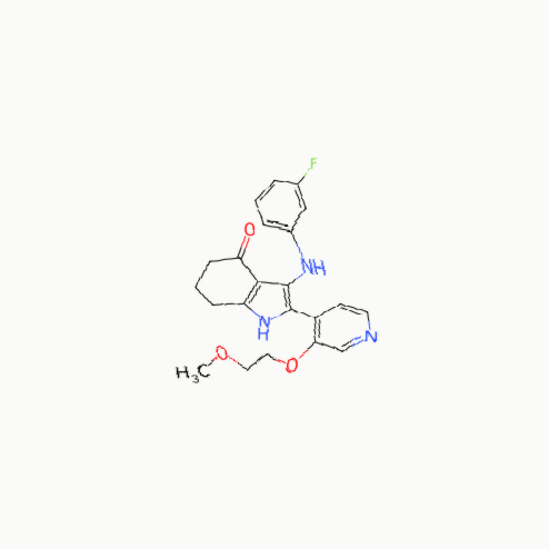 COCCOc1cnccc1-c1[nH]c2c(c1Nc1cccc(F)c1)C(=O)CCC2